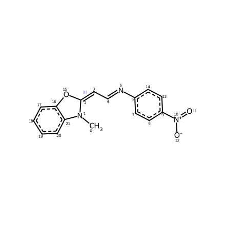 CN1/C(=C\C=Nc2ccc([N+](=O)[O-])cc2)Oc2ccccc21